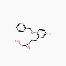 OCC1OC1CCc1cc(F)ccc1OCc1ccccc1